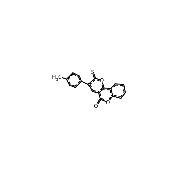 Cc1ccc(-c2cc3c(=O)oc4ccccc4c3oc2=S)cc1